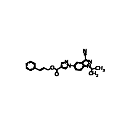 CC(C)n1nc(C#N)c2cc(-n3cc(C(=O)OCC=Cc4ccccc4)cn3)ccc21